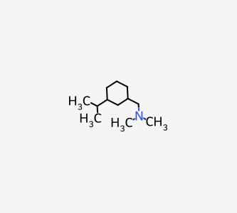 CC(C)C1CCCC(CN(C)C)C1